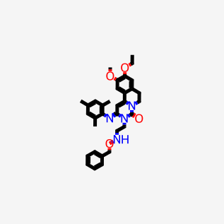 CCOc1cc2c(cc1OC)-c1c/c(=N\c3c(C)cc(C)cc3C)n(CCNOCc3ccccc3)c(=O)n1CC2